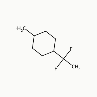 [CH2]C1CCC(C(C)(F)F)CC1